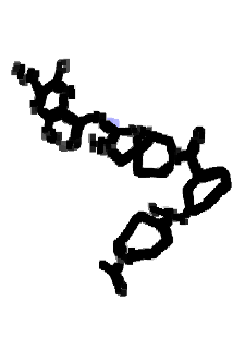 CC(=O)N1CCC(NSc2cccc(C(=O)N3CCC4(CC3)CN/C(=N\C(=O)c3nc(Cl)c(N)nc3N)N4)c2)CC1